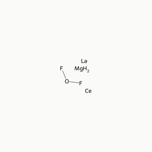 FOF.[Ce].[La].[MgH2]